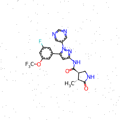 C[C@H]1C(=O)NC[C@@H]1C(=O)Nc1cc(-c2cc(F)cc(OC(F)(F)F)c2)n(-c2cncnc2)n1